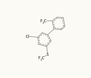 FC(F)(F)Sc1[c]c(Cl)cc(-c2ccccc2C(F)(F)F)c1